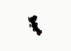 CCOC(=O)C1CC=C(n2ccc(NC(=O)N3CCN(C(=O)C(C)(C)NC(=O)OC(C)(C)C)CC3)nc2=O)CC1